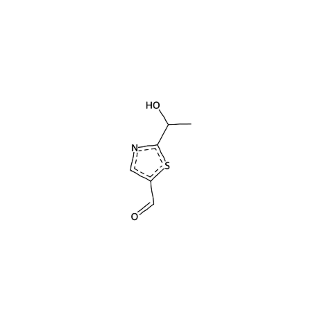 CC(O)c1ncc(C=O)s1